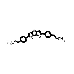 CCCc1ccc(-c2cc3sc4cc(-c5ccc(CCC)cc5)sc4c3s2)cc1